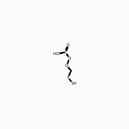 O=[P](O)OOCSS